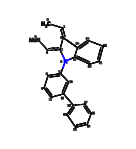 C/C=c1\c(=C/NC)n(-c2cccc(-c3ccccc3)c2)c2ccccc12